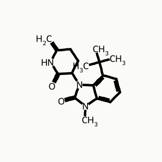 C=C1CCC(n2c(=O)n(C)c3cccc(C(C)(C)C)c32)C(=O)N1